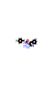 O=C(NCc1ccc(F)cc1)Nc1cnc2ccccc2c1